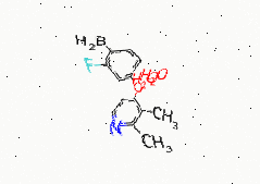 Bc1ccc(Oc2ccnc(C)c2C)cc1F.O.O